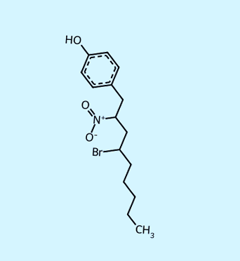 CCCCCC(Br)CC(Cc1ccc(O)cc1)[N+](=O)[O-]